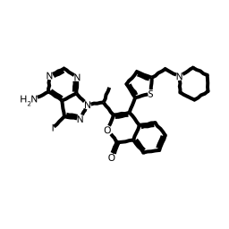 CC(c1oc(=O)c2ccccc2c1-c1ccc(CN2CCCCC2)s1)n1nc(I)c2c(N)ncnc21